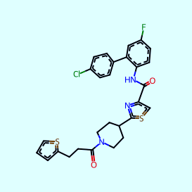 O=C(Nc1ccc(F)cc1-c1ccc(Cl)cc1)c1csc(C2CCN(C(=O)CCc3cccs3)CC2)n1